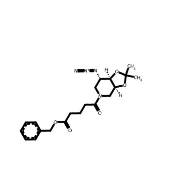 CC1(C)O[C@@H]2[C@@H](N=[N+]=[N-])CN(C(=O)CCCC(=O)OCc3ccccc3)C[C@@H]2O1